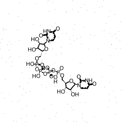 O=c1ccn(C2O[C@H](COP(=O)(O)OP(=O)(O)OP(=O)(O)OP(=O)(O)OC[C@H]3O[C@@H](n4ccc(=O)[nH]c4=O)[C@H](O)[C@@H]3O)[C@@H](O)[C@H]2O)c(=O)[nH]1